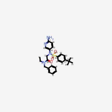 CCN(Cc1ccccc1)C(=O)CN(c1ccc(N)nc1)S(=O)(=O)c1ccc(C(C)(C)C)cc1